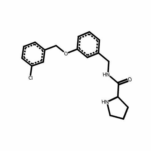 O=C(NCc1cccc(OCc2cccc(Cl)c2)c1)C1CCCN1